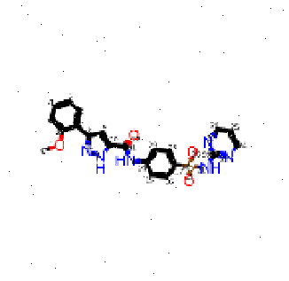 COc1ccccc1-c1cc(C(=O)Nc2ccc(S(=O)(=O)Nc3ncccn3)cc2)[nH]n1